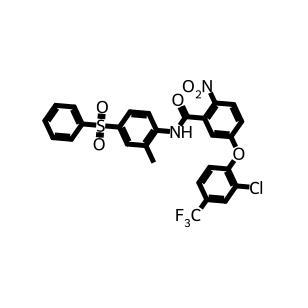 Cc1cc(S(=O)(=O)c2ccccc2)ccc1NC(=O)c1cc(Oc2ccc(C(F)(F)F)cc2Cl)ccc1[N+](=O)[O-]